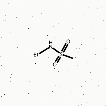 C[CH]NS(C)(=O)=O